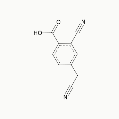 N#CCc1ccc(C(=O)O)c(C#N)c1